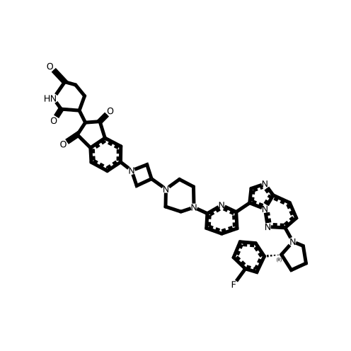 O=C1CCC(C2C(=O)c3ccc(N4CC(N5CCN(c6cccc(-c7cnc8ccc(N9CCC[C@@H]9c9cccc(F)c9)nn78)n6)CC5)C4)cc3C2=O)C(=O)N1